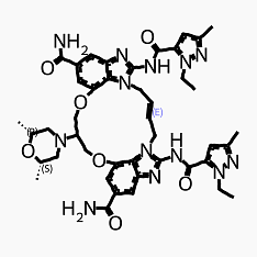 CCn1nc(C)cc1C(=O)Nc1nc2cc(C(N)=O)cc3c2n1C/C=C/Cn1c(NC(=O)c2cc(C)nn2CC)nc2cc(C(N)=O)cc(c21)OCC(N1C[C@@H](C)O[C@@H](C)C1)CO3